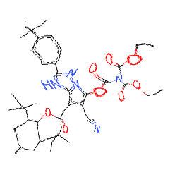 CCOC(=O)N(C(=O)OCC)C(=O)Oc1c(C#N)c(C(=O)OC2C(C(C)(C)C)CC(C)CC2C(C)(C)C)c2[nH]c(-c3ccc(C(C)(C)C)cc3)nn12